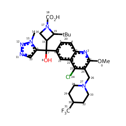 COc1nc2ccc(C(O)(c3cnnn3C)C3CN(C(=O)O)C3C(C)(C)C)cc2c(Cl)c1CN1CCC(C(F)(F)F)CC1